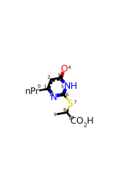 CCCc1cc(=O)[nH]c(SC(C)C(=O)O)n1